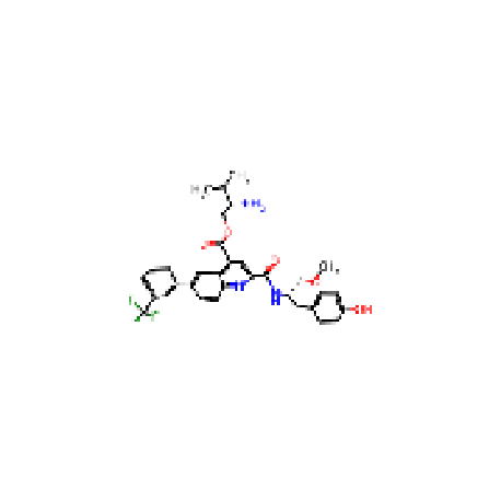 COC[C@H](Cc1ccc(O)cc1)NC(=O)c1cc(C(=O)OC[C@@H](N)C(C)C)c2cc(-c3cccc(C(F)(F)F)c3)ccc2n1